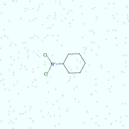 Cl[N+](Cl)C1CCCCC1